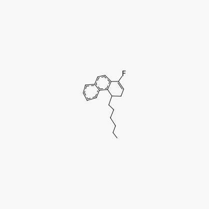 CCCCCCC1CC=C(F)c2ccc3ccccc3c21